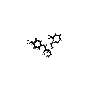 CCN(CCN1CCCCC1=O)C(C)Cc1ccc(Cl)cc1